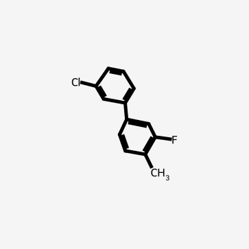 Cc1ccc(-c2cccc(Cl)c2)cc1F